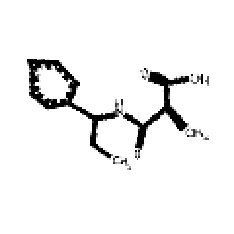 C=C(C(=O)O)C(=O)NC(CC)c1ccccc1